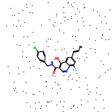 CC(=O)C=Cc1cc(F)c2ncc(C(=O)NCc3ccc(Cl)cc3)c(O)c2c1